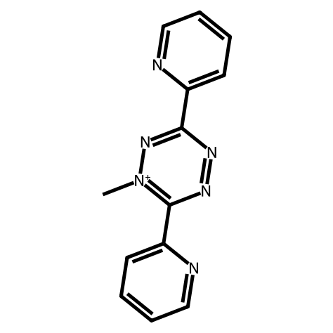 C[n+]1nc(-c2ccccn2)nnc1-c1ccccn1